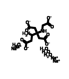 NC(CC(=O)[O-])C(CC(=O)[O-])(CC(=O)[O-])NCC(=O)[O-].O.O.O.O.[Na+].[Na+].[Na+].[Na+]